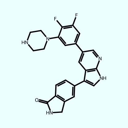 O=C1NCc2cc(-c3c[nH]c4ncc(-c5cc(F)c(F)c(N6CCNCC6)c5)cc34)ccc21